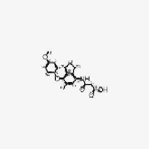 COc1ccc(Oc2c(C)cc(NC(=O)CC(=O)O)c3c2CCC3)cc1